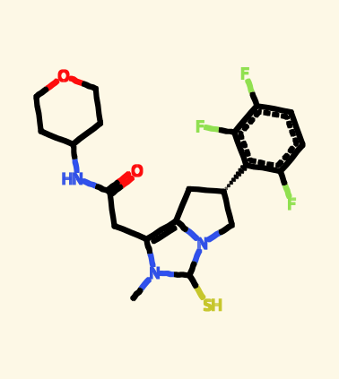 CN1C(CC(=O)NC2CCOCC2)=C2C[C@H](c3c(F)ccc(F)c3F)CN2C1S